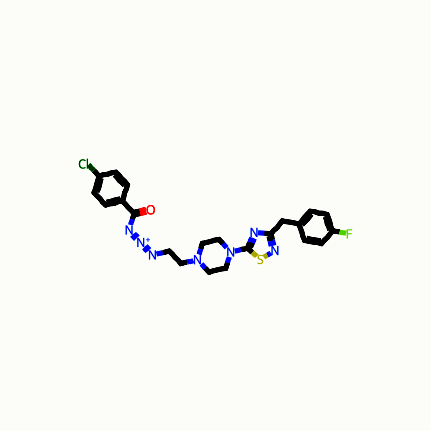 O=C(N=[N+]=NCCN1CCN(c2nc(Cc3ccc(F)cc3)ns2)CC1)c1ccc(Cl)cc1